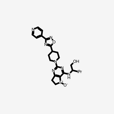 CC(C)C(CO)Nc1nc(N2CCC(c3nc(-c4ccncc4)no3)CC2)nc2c1[S+]([O-])CC2